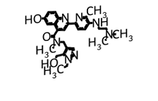 CCn1ncc(CN(C)C(=O)c2cc(-c3ccc(NCCN(C)C)c(C)n3)nc3ccc(O)cc23)c1CO